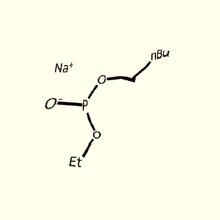 CCCCCOP([O-])OCC.[Na+]